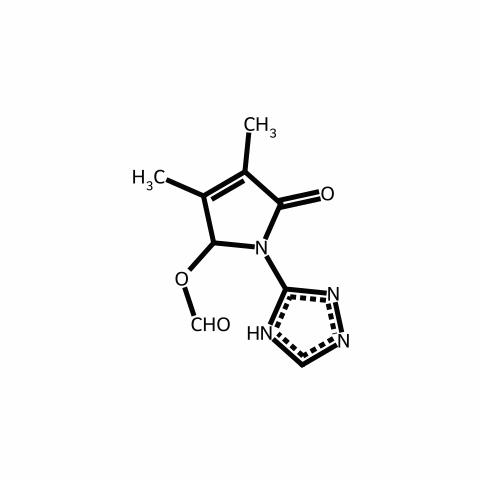 CC1=C(C)C(OC=O)N(c2nnc[nH]2)C1=O